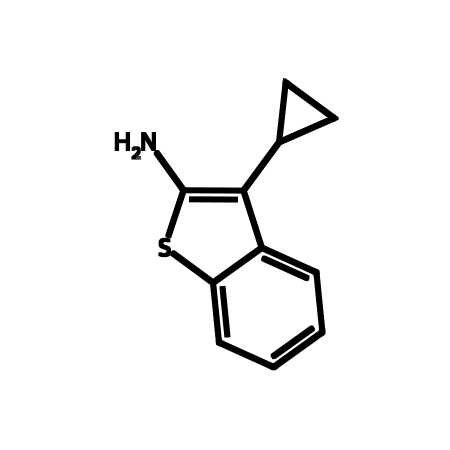 Nc1sc2ccccc2c1C1CC1